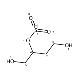 O=[SH](=O)OC(CO)CCO